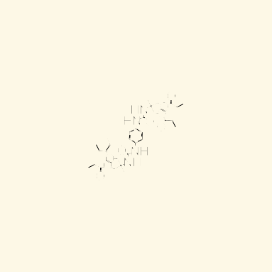 C=CC(=O)OCC(C)(COC(=O)C=C)NC(=O)Nc1ccc(NC(=O)NC(C)(COC(=O)C=C)COC(C=C)=CC)cc1